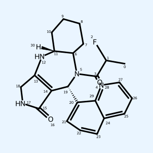 CC(F)C(=O)N1C2CCCC[C@H]2NC2=C(C(=O)NC2)[C@H]1c1cccc2cccnc12